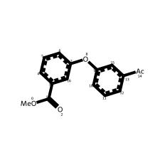 COC(=O)c1cccc(Oc2cccc(C(C)=O)c2)c1